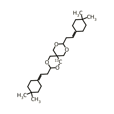 CC1(C)CCC(=CCC2OCC3(CO2)COC(CC=C2CCC(C)(C)CC2)O[13CH2]3)CC1